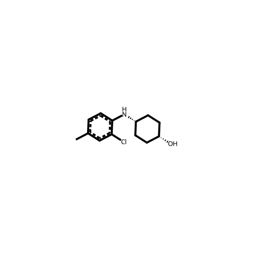 Cc1ccc(N[C@H]2CC[C@@H](O)CC2)c(Cl)c1